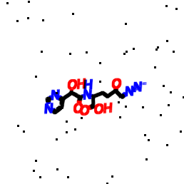 [N-]=[N+]=CC(=O)CCC(NC(=O)C(O)c1ccncn1)C(=O)O